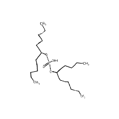 CCCCCC(CCCC)OP(=O)(O)OC(CCCC)CCCCC